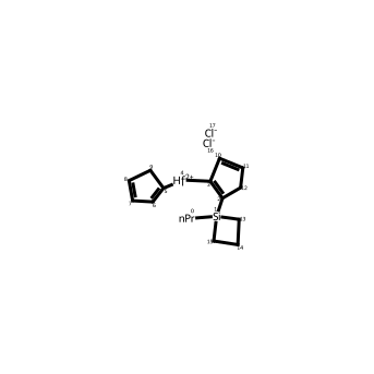 CCC[Si]1(C2=[C]([Hf+2][C]3=CC=CC3)C=CC2)CCC1.[Cl-].[Cl-]